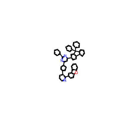 c1ccc(-c2nc(-c3ccc(-c4cccnc4-c4ccc5oc6ccccc6c5c4)cc3)cc(-c3ccc4c(c3)C(c3ccccc3)(c3ccccc3)c3ccccc3-4)n2)cc1